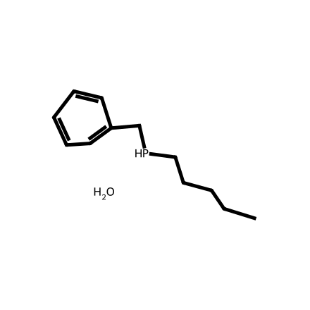 CCCCCPCc1ccccc1.O